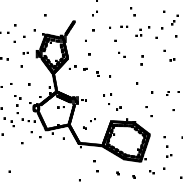 Cn1cnc(C2=NC(Cc3ccccc3)CO2)c1